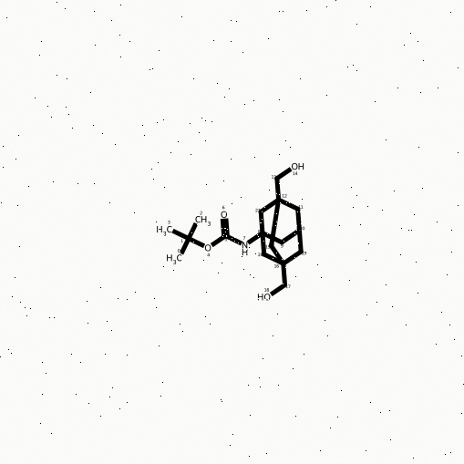 CC(C)(C)OC(=O)NC12CC3CC(CO)(CC(CO)(C3)C1)C2